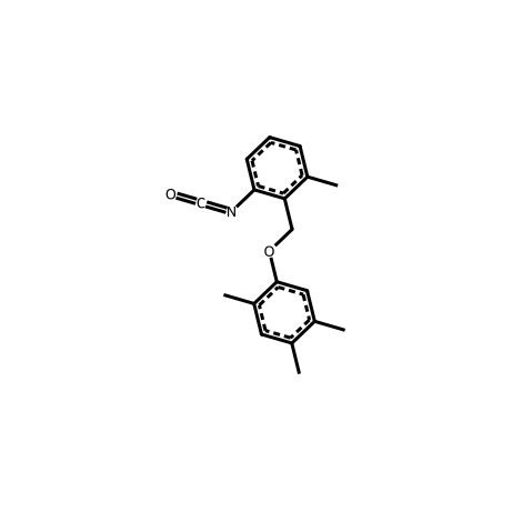 Cc1cc(C)c(OCc2c(C)cccc2N=C=O)cc1C